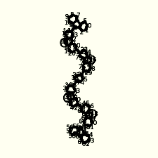 c1ccc2c(c1)-c1ccccc1C2c1ccc2oc3ccc(-c4ccc5oc6ccc(-c7ccc(-c8ccc9oc%10ccc(-c%11ccc%12oc%13ccc(-n%14c%15ccccc%15c%15ccccc%15%14)cc%13c%12c%11)cc%10c9c8)cc7)cc6c5c4)cc3c2c1